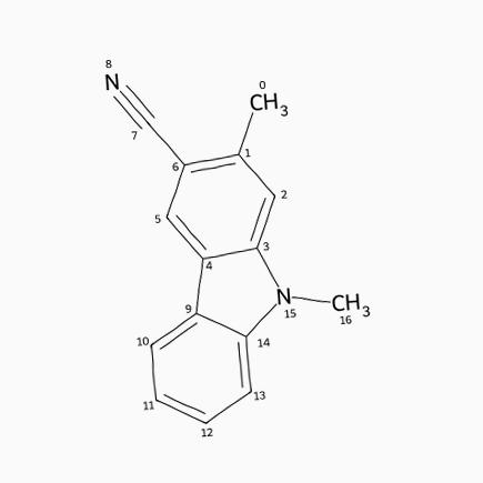 Cc1cc2c(cc1C#N)c1ccccc1n2C